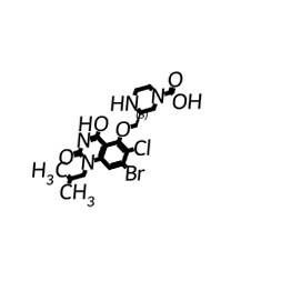 CC(C)Cn1c(=O)nc(O)c2c(OC[C@@H]3CN(C(=O)O)CCN3)c(Cl)c(Br)cc21